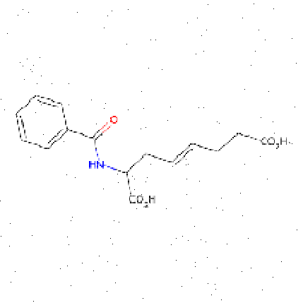 O=C(O)CCC=CCC(NC(=O)c1ccccc1)C(=O)O